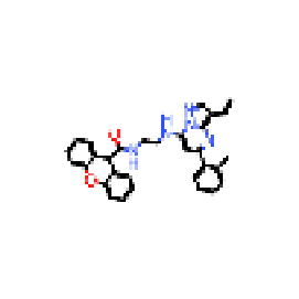 C=Cc1cnn2c(NCCNC(=O)C3c4ccccc4Oc4ccccc43)cc(-c3ccccc3C)nc12